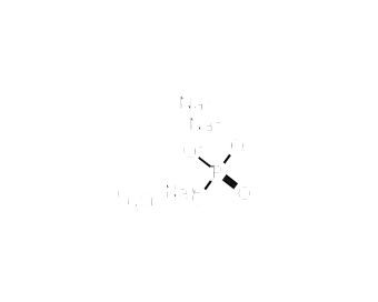 O=P([O-])([O-])[O-].[Na+].[Na+].[Na+].[SiH4]